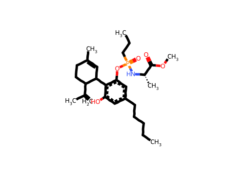 C=C(C)C1CCC(C)=CC1c1c(O)cc(CCCCC)cc1OP(=O)(CCC)N[C@@H](C)C(=O)OC